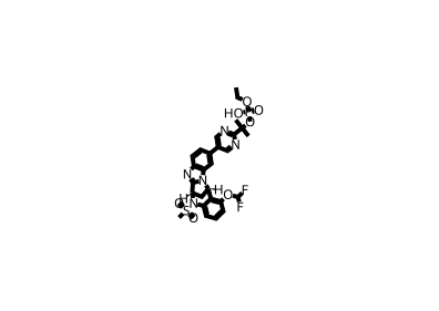 CCOP(=O)(O)OC(C)(C)c1ncc(-c2ccc3nc4n(c3c2)[C@@H]2C[C@H]4N(S(C)(=O)=O)c3cccc(OC(F)F)c32)cn1